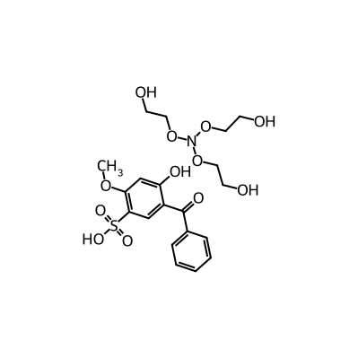 COc1cc(O)c(C(=O)c2ccccc2)cc1S(=O)(=O)O.OCCON(OCCO)OCCO